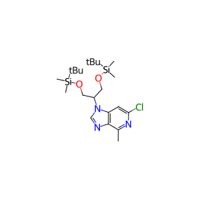 Cc1nc(Cl)cc2c1ncn2C(CO[Si](C)(C)C(C)(C)C)CO[Si](C)(C)C(C)(C)C